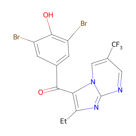 CCc1nc2ncc(C(F)(F)F)cn2c1C(=O)c1cc(Br)c(O)c(Br)c1